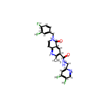 Cc1nc2ccn(Cc3ccc(F)c(F)c3)c(=O)c2cc1C(=O)NCc1cc(F)c(F)cn1